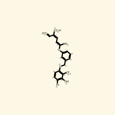 C=C/C(=C\C=C(/N)Oc1cccc(COc2ccc(C(C)=O)c(O)c2C(F)(F)F)c1)C(=O)O